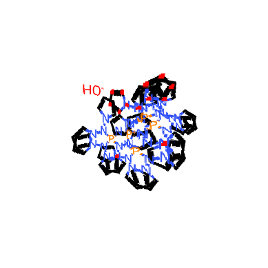 [OH-].c1ccn(N(n2cccc2)P(=N[P+](N=P(N(n2cccc2)n2cccc2)(N(n2cccc2)n2cccc2)N(n2cccc2)n2cccc2)(N=P(N(n2cccc2)n2cccc2)(N(n2cccc2)n2cccc2)N(n2cccc2)n2cccc2)N=P(N(n2cccc2)n2cccc2)(N(n2cccc2)n2cccc2)N(n2cccc2)n2cccc2)(N(n2cccc2)n2cccc2)N(n2cccc2)n2cccc2)c1